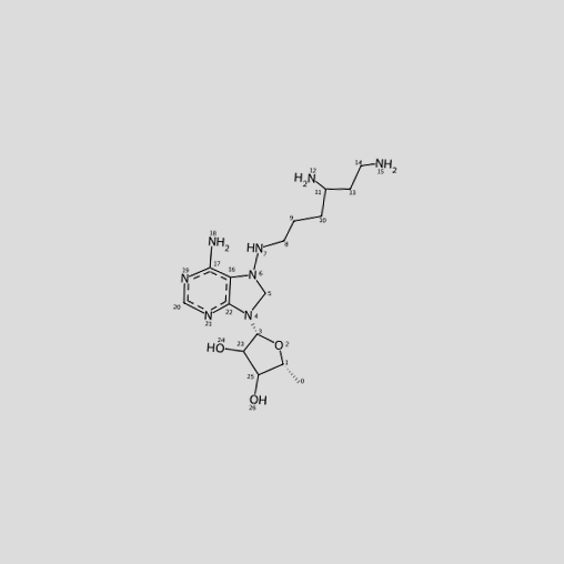 C[C@H]1O[C@@H](N2CN(NCCCC(N)CCN)c3c(N)ncnc32)C(O)C1O